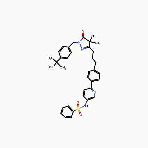 CC1(C)C(=O)N(Cc2ccc(C(C)(C)C)cc2)N=C1CCCc1ccc(-c2ccc(NS(=O)(=O)c3ccccc3)cn2)cc1